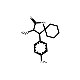 COc1ccc(C2C(C(=O)O)C(=O)NC23CCCCC3)cc1